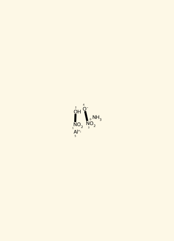 N.O=[N+]([O-])O.O=[N+]([O-])[O-].[Al+]